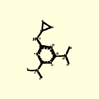 CN(C)c1nc(NC2CC2)nc(N(C)C)n1